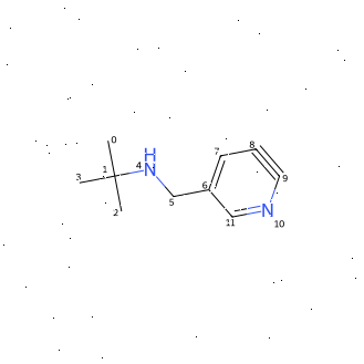 CC(C)(C)NCc1cc#cnc1